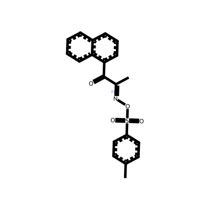 C/C(=N\OS(=O)(=O)c1ccc(C)cc1)C(=O)c1cccc2ccccc12